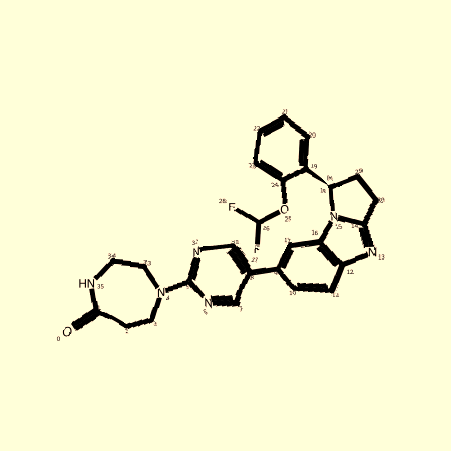 O=C1CCN(c2ncc(-c3ccc4nc5n(c4c3)[C@@H](c3ccccc3OC(F)F)CC5)cn2)CCN1